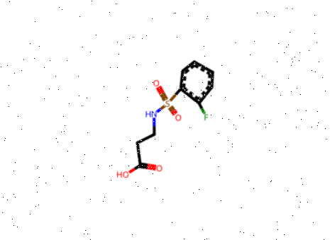 O=C(O)CCNS(=O)(=O)c1ccccc1F